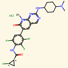 CC(C)n1c(=O)c(-c2cc(F)c(NC(=O)[C@H]3C[C@H]3F)c(F)c2F)cc2cnc(NC3CCC(N(C)C)CC3)nc21.Cl